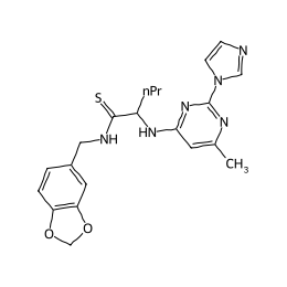 CCCC(Nc1cc(C)nc(-n2ccnc2)n1)C(=S)NCc1ccc2c(c1)OCO2